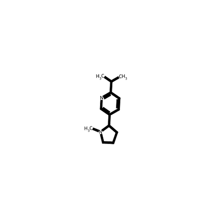 CC(C)c1ccc(C2CCCN2C)cn1